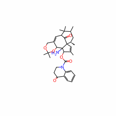 CC1=CC23C(=O)C(C=C4COC(C)(C)OC4C2(N)C1OC(=O)N1CCC(=O)c2ccccc21)C(C)(C)C(C)C[C@H]3C